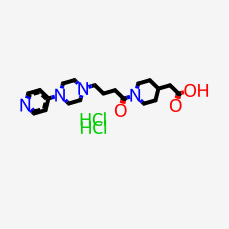 Cl.Cl.O=C(O)CC1CCN(C(=O)CCCN2CCN(c3ccncc3)CC2)CC1